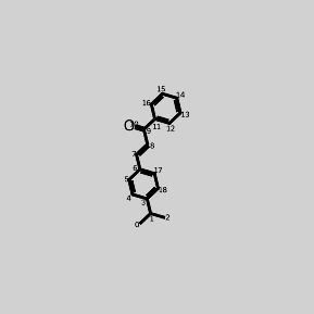 CC(C)c1ccc(/C=C/C(=O)c2ccccc2)cc1